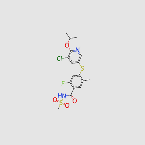 Cc1cc(C(=O)NS(C)(=O)=O)c(F)cc1Sc1cnc(OC(C)C)c(Cl)c1